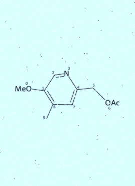 COc1cnc(COC(C)=O)cc1C